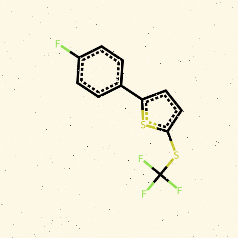 Fc1ccc(-c2ccc(SC(F)(F)F)s2)cc1